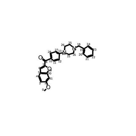 COc1ccc2cc(C(=O)c3ccc(N4CCN(Cc5ccccc5)CC4)cc3)oc2c1